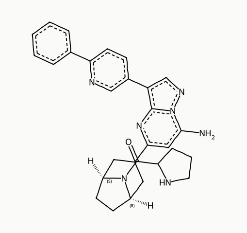 Nc1cc(C2C[C@H]3CC[C@@H](C2)N3C(=O)C2CCCN2)nc2c(-c3ccc(-c4ccccc4)nc3)cnn12